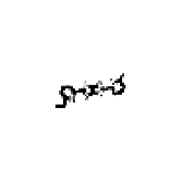 CCc1cccc(-c2nc3sc(-c4cccc(C)n4)nc3s2)n1